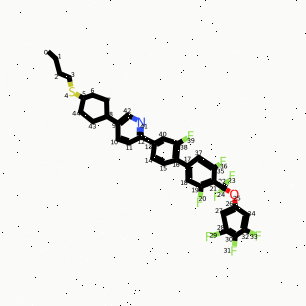 CCCCSC1CCC(c2ccc(-c3ccc(-c4cc(F)c(C(F)(F)Oc5cc(F)c(F)c(F)c5)c(F)c4)c(F)c3)nc2)CC1